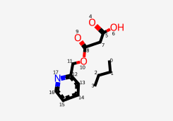 CCCC.O=C(O)CC(=O)OCc1ccccn1